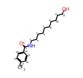 O=C(NCCCCCCCCCCO)c1ccc(C(F)(F)F)cc1